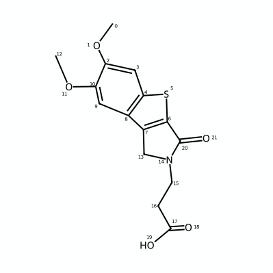 COc1cc2sc3c(c2cc1OC)CN(CCC(=O)O)C3=O